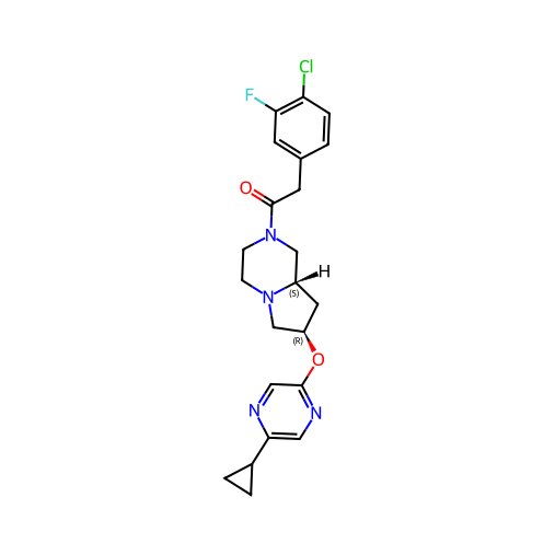 O=C(Cc1ccc(Cl)c(F)c1)N1CCN2C[C@H](Oc3cnc(C4CC4)cn3)C[C@H]2C1